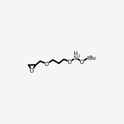 CC(C)(C)O[SiH2]OCCCOCC1CO1